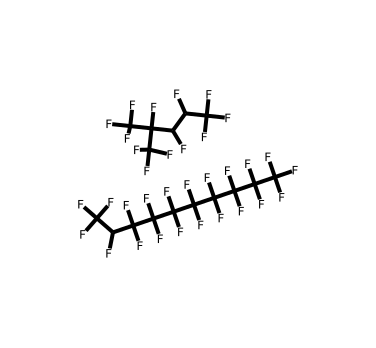 FC(C(F)(F)F)C(F)(F)C(F)(F)C(F)(F)C(F)(F)C(F)(F)C(F)(F)C(F)(F)C(F)(F)F.FC(C(F)C(F)(C(F)(F)F)C(F)(F)F)C(F)(F)F